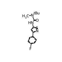 CN(C(=O)Nc1cc(-c2ccc(F)cc2)ns1)C(C)(C)C